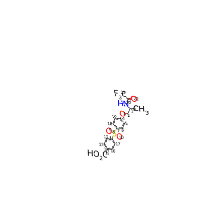 CC(COc1ccc(S(=O)(=O)c2ccc(C(=O)O)cc2)cc1)NC(=O)C(F)(F)F